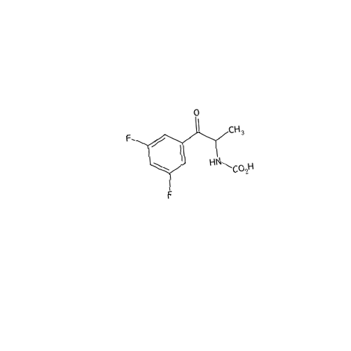 CC(NC(=O)O)C(=O)c1cc(F)cc(F)c1